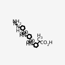 CC(C(=O)O)c1cccc(NS(=O)(=O)c2cccc(NS(=O)(=O)c3cccc(NC=NN)c3)c2)c1